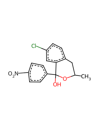 CC1Cc2ccc(Cl)cc2C(O)(c2ccc([N+](=O)[O-])cc2)O1